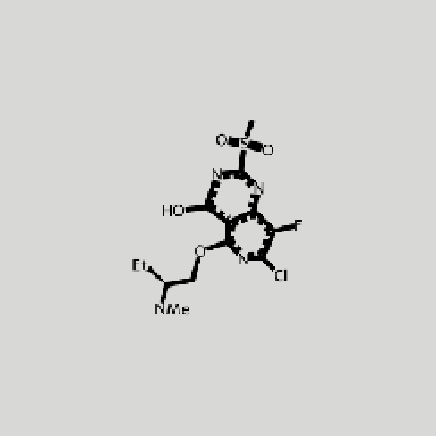 CC[C@@H](COc1nc(Cl)c(F)c2nc(S(C)(=O)=O)nc(O)c12)NC